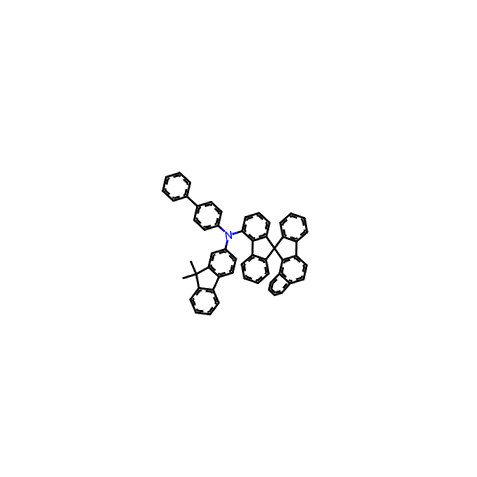 CC1(C)c2ccccc2-c2ccc(N(c3ccc(-c4ccccc4)cc3)c3cccc4c3-c3ccccc3C43c4ccccc4-c4ccc5ccccc5c43)cc21